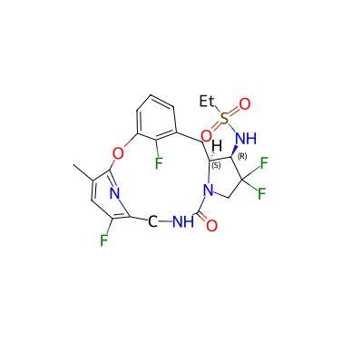 CCS(=O)(=O)N[C@@H]1[C@@H]2Cc3cccc(c3F)Oc3nc(c(F)cc3C)CNC(=O)N2CC1(F)F